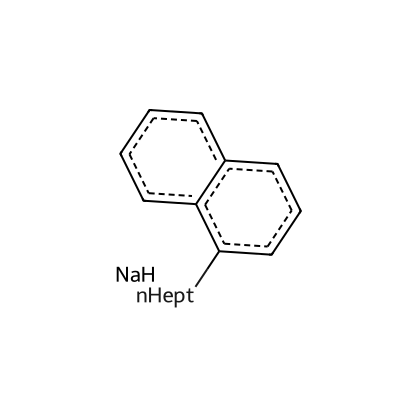 CCCCCCCc1cccc2ccccc12.[NaH]